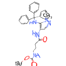 Cn1ncc(NC(=O)CCCNC(=O)OC(C)(C)C)c1NC(c1ccccc1)(c1ccccc1)c1ccccc1